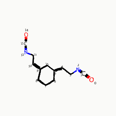 O=C=NCC=C1CCCC(=CCN=C=O)C1